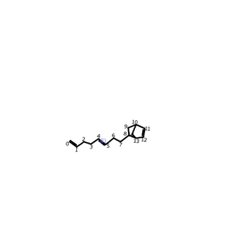 C=CCC/C=C/CCC1CC2C=CC1C2